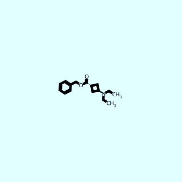 CCN(CC)[C@H]1C[C@H](C(=O)OCc2ccccc2)C1